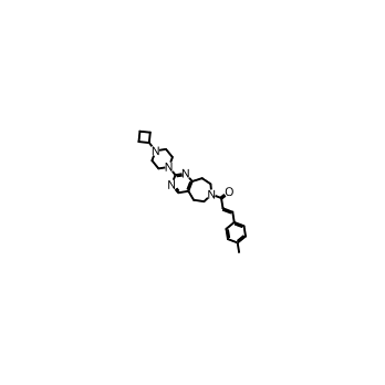 Cc1ccc(C=CC(=O)N2CCc3cnc(N4CCN(C5CCC5)CC4)nc3CC2)cc1